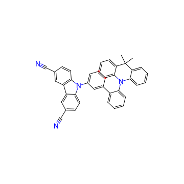 CC1(C)c2ccccc2N(c2ccccc2-c2cccc(-n3c4ccc(C#N)cc4c4cc(C#N)ccc43)c2)c2ccccc21